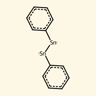 c1cc[c]([Sn][Sn][c]2ccccc2)cc1